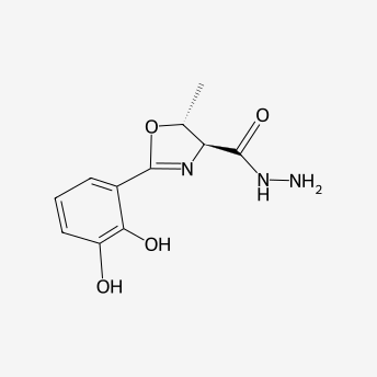 C[C@H]1OC(c2cccc(O)c2O)=N[C@@H]1C(=O)NN